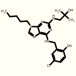 CCCCCn1cnc2c(NCc3cc(Cl)ccc3O)nc(NCC(C)(C)O)nc21